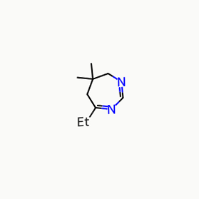 CCC1=NC=NCC(C)(C)C1